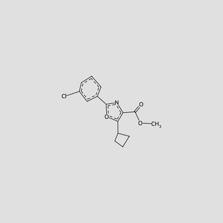 COC(=O)c1nc(-c2cccc(Cl)c2)oc1C1CCC1